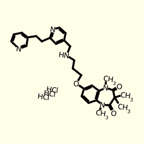 CN1C(=O)C(C)(C)C(=O)N(C)c2cc(OCCCNCc3ccnc(CCc4cccnc4)c3)ccc21.Cl.Cl.Cl